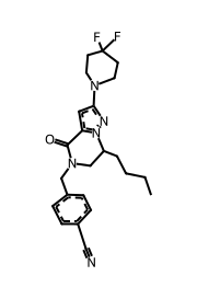 CCCCC1CN(Cc2ccc(C#N)cc2)C(=O)c2cc(N3CCC(F)(F)CC3)nn21